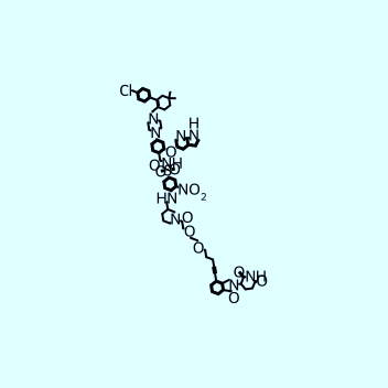 CC1(C)CCC(CN2CCN(c3ccc(C(=O)NS(=O)(=O)c4ccc(NCC5CCCN(C(=O)COCCOCCCC#Cc6cccc7c6CN(C6CCC(=O)NC6=O)C7=O)C5)c([N+](=O)[O-])c4)c(Oc4cnc5[nH]ccc5c4)c3)CC2)=C(c2ccc(Cl)cc2)C1